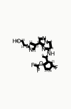 CC(Nc1ccn2ncc(-c3cnn(CCO)c3)c2n1)c1cc(F)ccc1OC(F)F